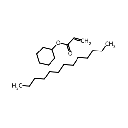 C=CC(=O)OC1CCCCC1.CCCCCCCCCCCCC